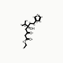 CCOC(=O)CC(=O)C[C@@](O)(CCc1ccsc1)C(C)C